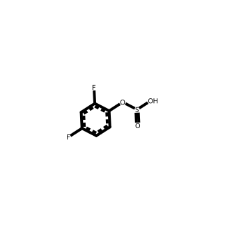 O=S(O)Oc1ccc(F)cc1F